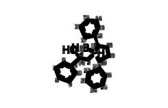 B[PH]1(C[C@H](O)c2ccccc2)[C@@H](c2ccccc2)CC[C@@H]1c1ccccc1